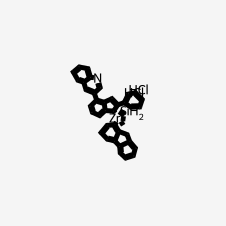 Cl.Cl.[CH3][Zr]([CH3])(=[SiH2])([c]1cccc2c1Cc1ccccc1-2)[CH]1C(c2ccccc2)=Cc2c(-c3cnc4ccccc4c3)cccc21